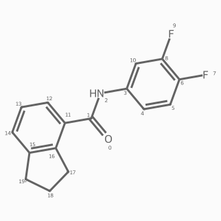 O=C(Nc1ccc(F)c(F)c1)c1cccc2c1CC[CH]2